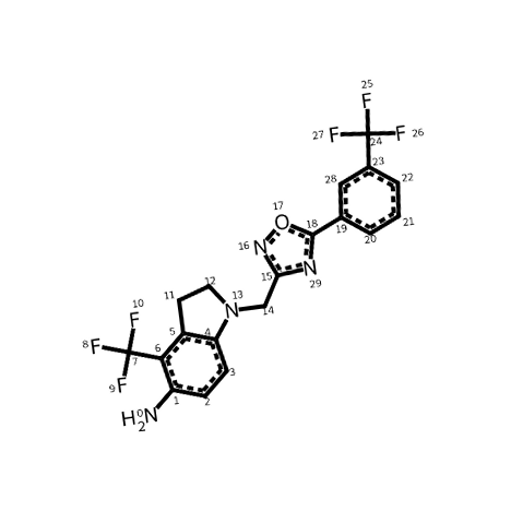 Nc1ccc2c(c1C(F)(F)F)CCN2Cc1noc(-c2cccc(C(F)(F)F)c2)n1